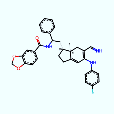 C[C@]12CC(C=N)=C(Nc3ccc(F)cc3)C=C1CC[C@@H]2CC(NC(=O)c1ccc2c(c1)OCO2)c1ccccc1